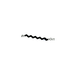 CCCCCCCC/C=C/CCCCCCCCC(C)C